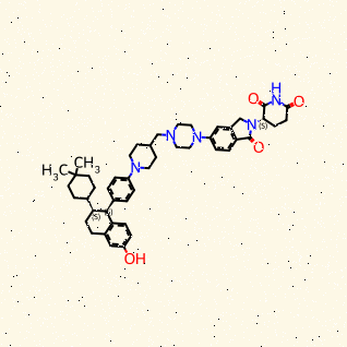 CC1(C)CCC([C@@H]2CCc3cc(O)ccc3[C@@H]2c2ccc(N3CCC(CN4CCN(c5ccc6c(c5)CN([C@H]5CCC(=O)NC5=O)C6=O)CC4)CC3)cc2)CC1